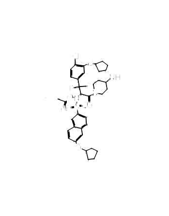 NC1CCN(C(=O)[C@@H](N(OC(=O)C(F)(F)F)S(=O)(=O)c2ccc3cc(OC4CCCC4)ccc3c2)C(F)(F)c2ccc(Cl)c(OC3CCCC3)c2)CC1